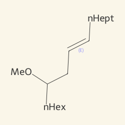 [CH2]CCCCCC/C=C/CC(CCCCCC)OC